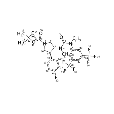 CN(C(=O)N(C)[C@H]1CN(C(=O)OC(C)(C)C)C[C@@H]1c1ccc(F)cc1)c1cc(C(F)(F)F)cc(C(F)(F)F)c1